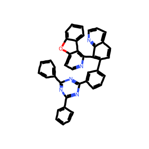 c1ccc(-c2nc(-c3ccccc3)nc(-c3cccc(-c4ccc5cccnc5c4-c4nccc5oc6ccccc6c45)c3)n2)cc1